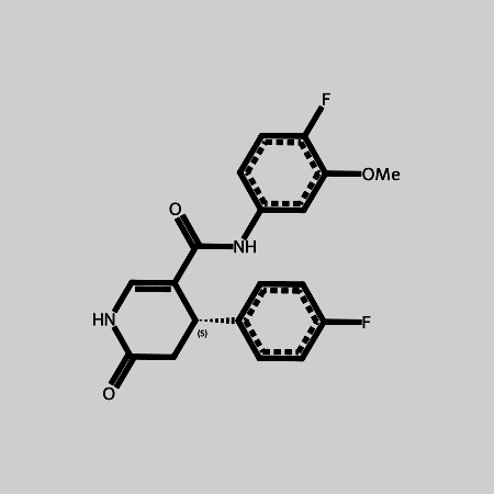 COc1cc(NC(=O)C2=CNC(=O)C[C@H]2c2ccc(F)cc2)ccc1F